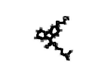 CN(C)CCCOC(=O)c1c2ccc(OCC#N)cc2n2ccccc12